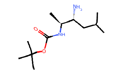 CC(C)C[C@@H](N)[C@H](C)NC(=O)OC(C)(C)C